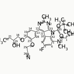 C=CCN(C)c1cc(F)cc2c3c(-c4ccc(OCC(O)CC)c(OCC#N)c4)nc(C)nc3n(C(=O)OC(C)(C)C)c12